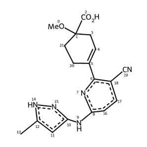 COC1(C(=O)O)CC=C(c2nc(Nc3cc(C)[nH]n3)ccc2C#N)CC1